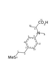 CSCCc1ccc(N(C)C(C)C(=O)O)cc1